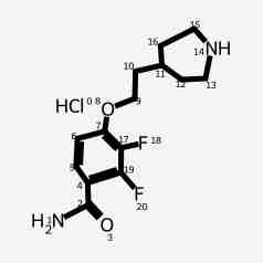 Cl.NC(=O)c1ccc(OCCC2CCNCC2)c(F)c1F